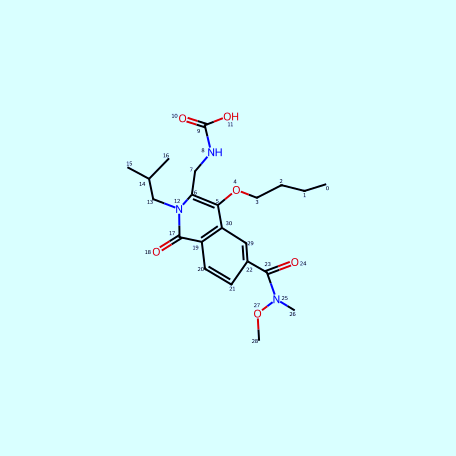 CCCCOc1c(CNC(=O)O)n(CC(C)C)c(=O)c2ccc(C(=O)N(C)OC)cc12